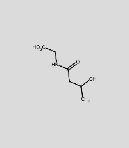 CC(O)CC(=O)NCC(=O)O